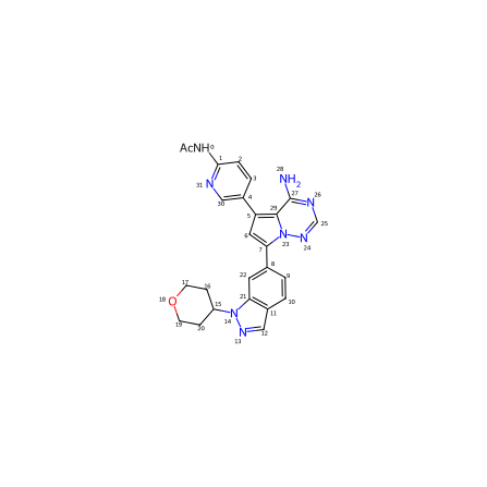 CC(=O)Nc1ccc(-c2cc(-c3ccc4cnn(C5CCOCC5)c4c3)n3ncnc(N)c23)cn1